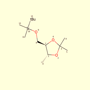 [CH][C@H]1OC(C)(C)O[C@@H]1CO[Si](C)(C)C(C)(C)C